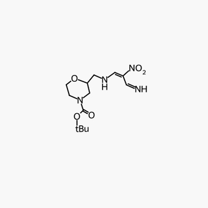 CC(C)(C)OC(=O)N1CCOC(CN/C=C(\C=N)[N+](=O)[O-])C1